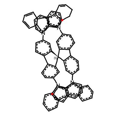 C1=CC2c3ccccc3N(c3ccc4c(c3)[C@]3(c5cc(-n6c7c(c8ccccc86)C=CCC7)ccc5-c5ccc(-n6c7ccccc7c7ccccc76)cc53)c3cc(-n5c6ccccc6c6ccccc65)ccc3-4)C2C=C1